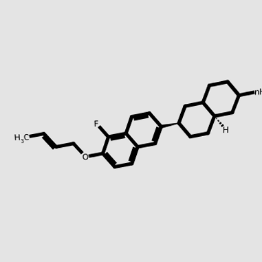 C/C=C/COc1ccc2cc([C@@H]3CC[C@@H]4CC(CCCCCC)CCC4C3)ccc2c1F